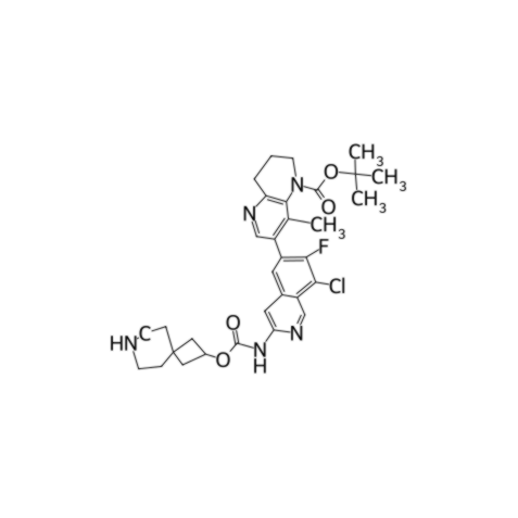 Cc1c(-c2cc3cc(NC(=O)OC4CC5(CCNCC5)C4)ncc3c(Cl)c2F)cnc2c1N(C(=O)OC(C)(C)C)CCC2